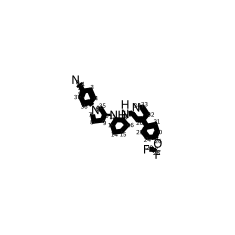 N#Cc1ccc(N2CCC[C@H](N[C@@H]3CCCC[C@H]3Nc3cc(-c4ccc(OC(F)F)cc4)ccn3)C2)cc1